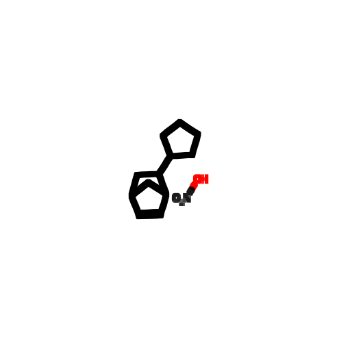 C1=CC2CC1CC2C1CCCC1.O=[N+]([O-])O